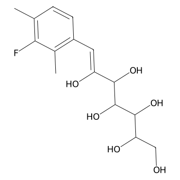 Cc1ccc(C=C(O)C(O)C(O)C(O)C(O)CO)c(C)c1F